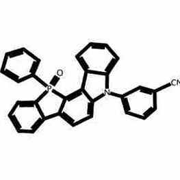 N#Cc1cccc(-n2c3ccccc3c3c4c(ccc32)-c2ccccc2P4(=O)c2ccccc2)c1